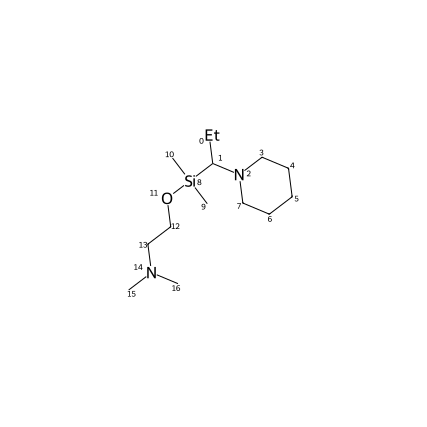 CCC(N1CCCCC1)[Si](C)(C)OCCN(C)C